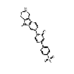 Cn1c2c(c3ccc(-n4ccc(-c5ccc(S(C)(=O)=O)cc5)cc4=O)cc31)CNCC2